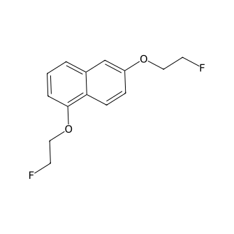 FCCOc1ccc2c(OCCF)cccc2c1